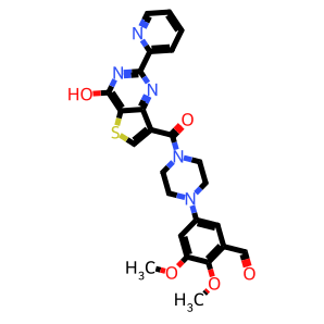 COc1cc(N2CCN(C(=O)c3csc4c(O)nc(-c5ccccn5)nc34)CC2)cc(C=O)c1OC